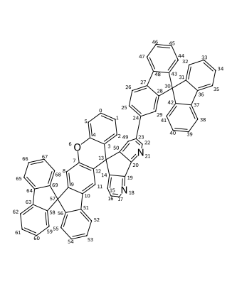 c1ccc2c(c1)Oc1cc3c(cc1C21c2cccnc2-c2ncc(-c4ccc5c(c4)C4(c6ccccc6-c6ccccc64)c4ccccc4-5)cc21)-c1ccccc1C31c2ccccc2-c2ccccc21